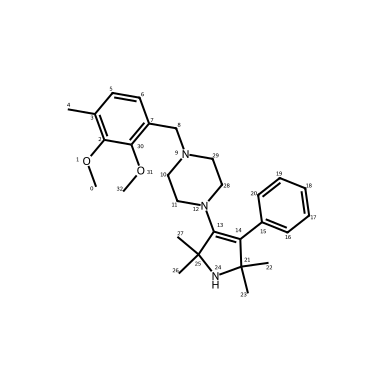 COc1c(C)ccc(CN2CCN(C3=C(c4ccccc4)C(C)(C)NC3(C)C)CC2)c1OC